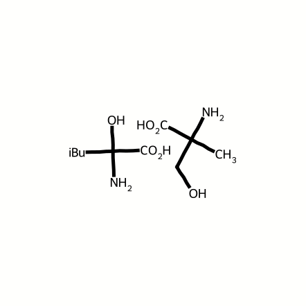 CC(N)(CO)C(=O)O.CCC(C)C(N)(O)C(=O)O